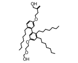 C=C(CO)CCOc1ccc(CCCCCCC)c(-c2cc(OCCOCO)cc(CCCCCCC)c2CCCCCCC)c1